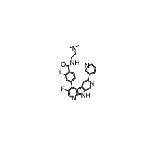 CN(C)CCNC(=O)c1ccc(-c2c(F)cnc3[nH]c4cnc(-c5cccnc5)cc4c23)cc1F